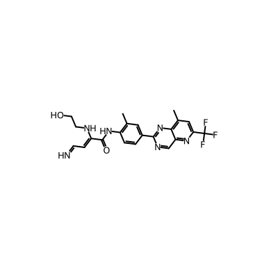 Cc1cc(-c2ncc3nc(C(F)(F)F)cc(C)c3n2)ccc1NC(=O)/C(=C/C=N)NCCO